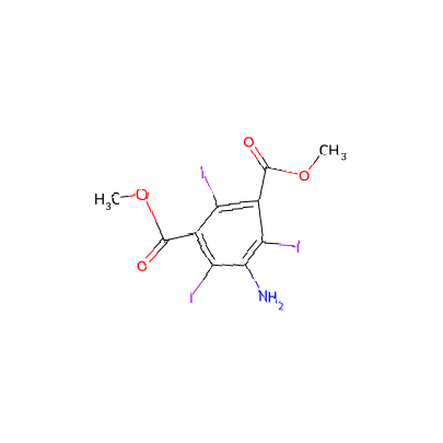 COC(=O)c1c(I)c(N)c(I)c(C(=O)OC)c1I